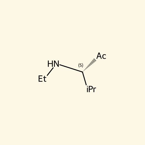 CCN[C@H](C(C)=O)C(C)C